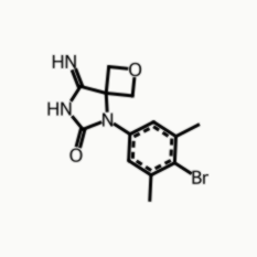 Cc1cc(N2C(=O)NC(=N)C23COC3)cc(C)c1Br